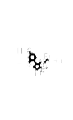 CCCCC(CC)C(=O)OC1=C(c2ccc(C)cc2C)C(=O)C(CC)C1CC